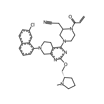 C=CC(=O)N1CCN(c2nc(OC[C@@H]3CCCN3C)nc3c2CCN(c2cccc4ccc(Cl)cc24)C3)CC1CC#N